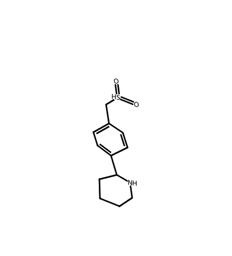 O=[SH](=O)Cc1ccc(C2CCCCN2)cc1